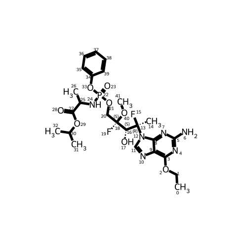 CCOc1nc(N)nc2c1ncn2[C@](C)(F)[C@H](O)[C@@](F)(COP(=O)(NC(C)C(=O)OC(C)C)Oc1ccccc1)OC